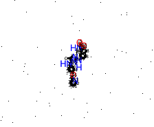 Cc1cnc(Nc2ccc3c(c2)[C@@H]2NC(=O)OC2C3)nc1Nc1ccc(OCc2ccccn2)cc1